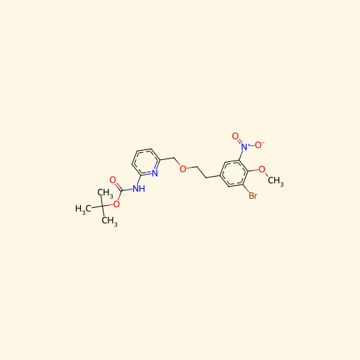 COc1c(Br)cc(CCOCc2cccc(NC(=O)OC(C)(C)C)n2)cc1[N+](=O)[O-]